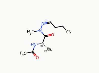 CC[C@@H](C)[C@H](NC(=O)C(F)(F)F)C(=O)N(C)/N=C\CCC#N